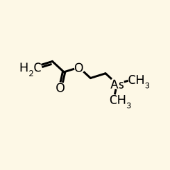 C=CC(=O)OCC[As](C)C